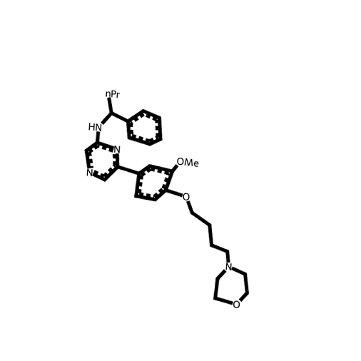 CCCC(Nc1cncc(-c2ccc(OCCCCN3CCOCC3)c(OC)c2)n1)c1ccccc1